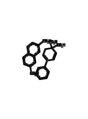 O=C(O)C1(C(=O)O)C=CC(c2ccccc2)=CC1.O=C(O)c1ccc2ccc(C(=O)O)cc2c1